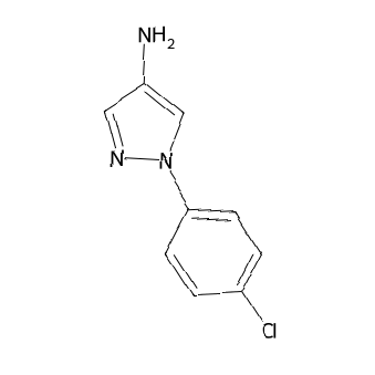 Nc1cnn(-c2ccc(Cl)cc2)c1